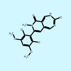 COc1cc(OC)c(Cl)c(-c2cc3c(c(=O)n2C)=CNC(Cl)=NC=3)c1Cl